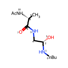 CCCCN[C@@H](O)CNC(=O)[C@@H](C)NC(C)=O